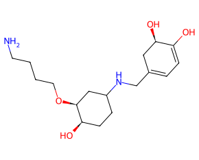 NCCCCO[C@H]1CC(NCC2=CC=C(O)[C@H](O)C2)CC[C@H]1O